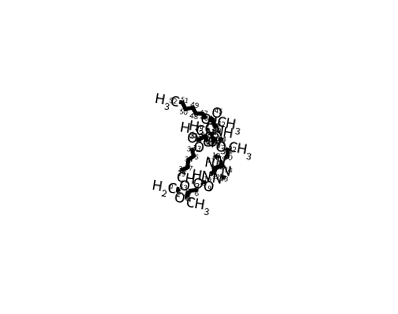 C=C1OC(C)=C(COC(=O)Nc2ncnc3c2ncn3C[C@@H](C)OCP(=O)(NC(C)(C)C(=O)OCCCCCC)NC(C)(C)C(=O)OCCCCCC)O1